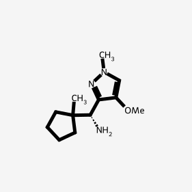 COc1cn(C)nc1[C@H](N)C1(C)CCCC1